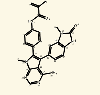 C=C(C)C(=O)Nc1ccc(-c2c(-c3ccc4[nH]c(=O)n(C)c4c3)c3c(N)ncnc3n2C)cc1